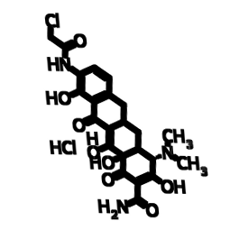 CN(C)[C@@H]1C(O)=C(C(N)=O)C(=O)C2(O)C(O)=C3C(=O)c4c(ccc(NC(=O)CCl)c4O)CC3CC12.Cl